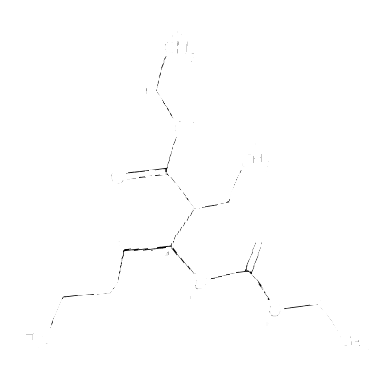 CCCCC(OC(=O)OCC)C(CC)C(=O)OCC